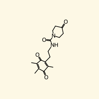 CC1=C(C)C(=O)C(CCNC(=O)N2CCC(=O)CC2)=C(C)C1=O